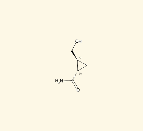 NC(=O)[C@H]1C[C@@H]1CO